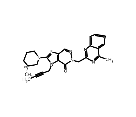 CC#CCn1c(N2CCC[C@@H](C)C2)nc2cnn(Cc3nc(C)c4ccccc4n3)c(=O)c21